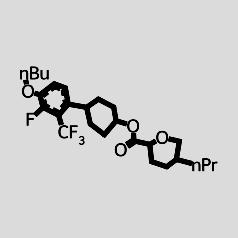 CCCCOc1ccc(C2CCC(OC(=O)C3CCC(CCC)CO3)CC2)c(C(F)(F)F)c1F